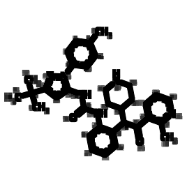 Cc1ccc(-n2nc(C(C)(C)C)cc2NC(=O)Nc2ccccc2C(C(=O)c2cccnc2C)C2CCNCC2)cc1